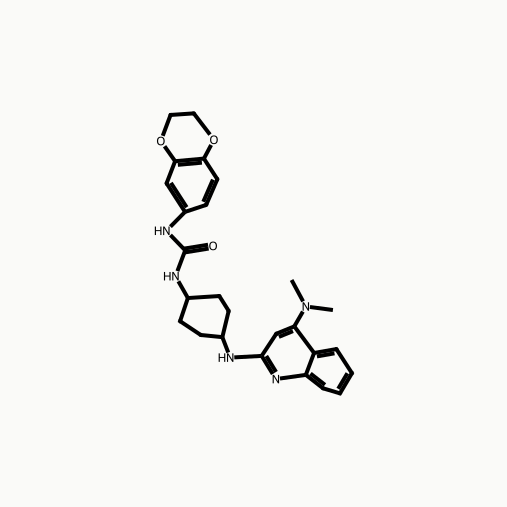 CN(C)c1cc(NC2CCC(NC(=O)Nc3ccc4c(c3)OCCO4)CC2)nc2ccccc12